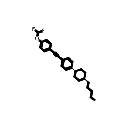 CCCCC[C@H]1CC[C@H](c2ccc(C#Cc3ccc(OC(F)F)cc3)cc2)CC1